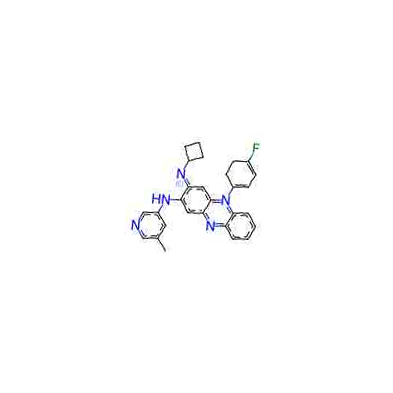 Cc1cncc(Nc2cc3nc4ccccc4n(C4=CC=C(F)CC4)c-3c/c2=N\C2CCC2)c1